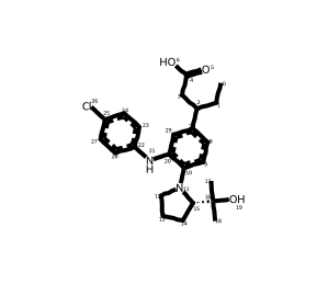 CCC(CC(=O)O)c1ccc(N2CCC[C@H]2C(C)(C)O)c(Nc2ccc(Cl)cc2)c1